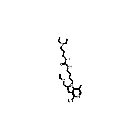 CCOCc1nc2c(N)ncc(C)c2n1CCCCNC(=S)NCCCN(CC)CC